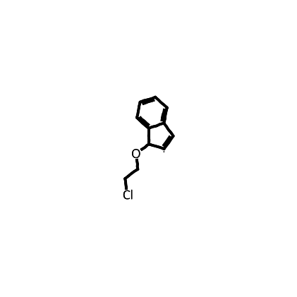 ClCCOC1[C]=Cc2ccccc21